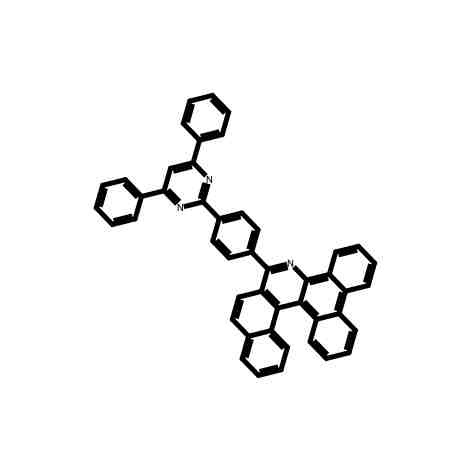 c1ccc(-c2cc(-c3ccccc3)nc(-c3ccc(-c4nc5c6ccccc6c6ccccc6c5c5c4ccc4ccccc45)cc3)n2)cc1